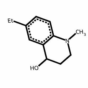 CCc1ccc2c(c1)C(O)CCN2C